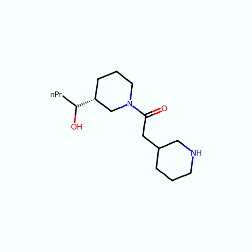 [CH2]CCC(O)[C@@H]1CCCN(C(=O)CC2CCCNC2)C1